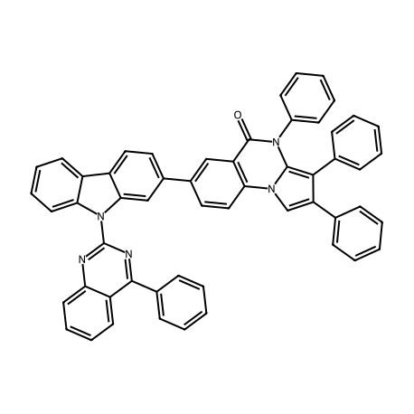 O=c1c2cc(-c3ccc4c5ccccc5n(-c5nc(-c6ccccc6)c6ccccc6n5)c4c3)ccc2n2cc(-c3ccccc3)c(-c3ccccc3)c2n1-c1ccccc1